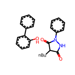 CCCCC1C(=O)NN(c2ccccc2)C1=O.Oc1ccccc1-c1ccccc1